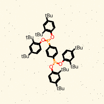 CC(C)(C)c1ccc(OP(Oc2ccc(C(C)(C)C)cc2C(C)(C)C)c2ccc(P(Oc3ccc(C(C)(C)C)cc3C(C)(C)C)Oc3ccc(C(C)(C)C)cc3C(C)(C)C)cc2)c(C(C)(C)C)c1